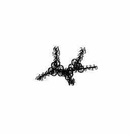 CCCCCCCCOC(=O)CC(COC(=O)CCCCCCCC)CC(=O)OC[C@@H]1C[C@@H](OC(=O)CC(CC(=O)OCCCCCCCC)CC(=O)OCCCCCCCC)CN1C(=O)OCCN(C)C